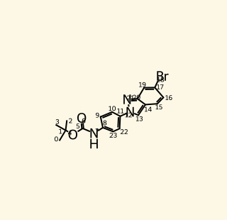 CC(C)(C)OC(=O)Nc1ccc(-n2cc3ccc(Br)cc3n2)cc1